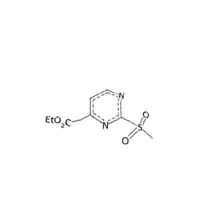 CCOC(=O)c1ccnc(S(C)(=O)=O)n1